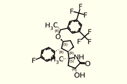 C[C@@H](O[C@H]1CC[C@@H]([C@]2(C)C[C@@H](O)C(=O)N2)[C@@H]1c1ccc(F)cc1)c1cc(C(F)(F)F)cc(C(F)(F)F)c1